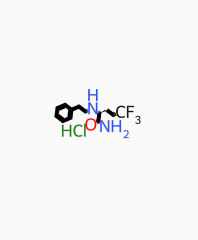 Cl.NC(=O)[C@@H](CCC(F)(F)F)NCCc1ccccc1